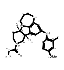 COc1ccc(Nc2cc3c4c(c2)[C@@H]2CN(C(=O)OC(C)(C)C)CC[C@@H]2N4CCCS3)c(C)c1